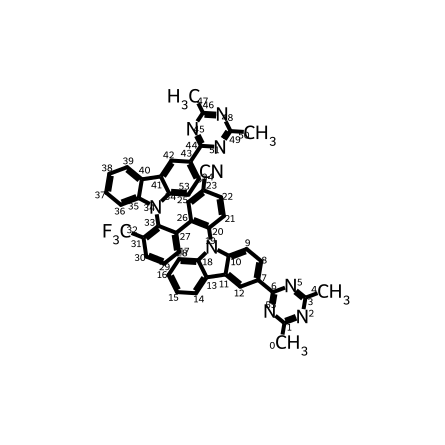 Cc1nc(C)nc(-c2ccc3c(c2)c2ccccc2n3-c2ccc(C#N)cc2-c2cccc(C(F)(F)F)c2-n2c3ccccc3c3cc(-c4nc(C)nc(C)n4)ccc32)n1